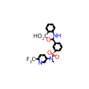 CN(c1ccc(C(F)(F)F)nc1)S(=O)(=O)c1cccc(C(=O)Nc2ccccc2C(=O)O)c1